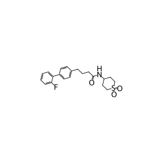 O=C(CCCc1ccc(-c2ccccc2F)cc1)NC1CCS(=O)(=O)CC1